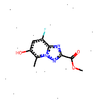 COC(=O)c1nc2c(F)cc(O)c(C)n2n1